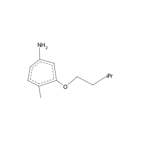 Cc1ccc(N)cc1OCCC(C)C